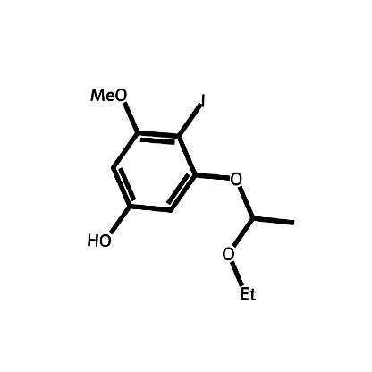 CCOC(C)Oc1cc(O)cc(OC)c1I